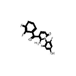 Nc1c(C(=O)c2cccc(F)c2F)ccc(=O)n1-c1c(F)cc(O)cc1F